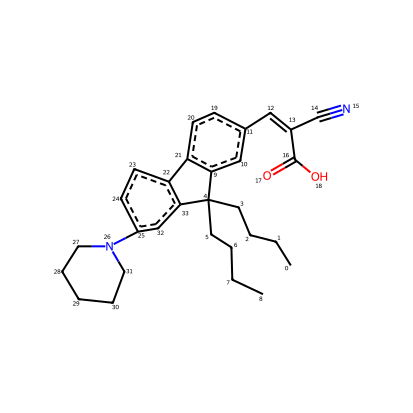 CCCCC1(CCCC)c2cc(C=C(C#N)C(=O)O)ccc2-c2ccc(N3CCCCC3)cc21